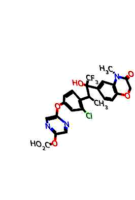 CC(c1ccc(Oc2cnc(OC(=O)O)cn2)cc1Cl)C(O)(c1ccc2c(c1)N(C)C(=O)CO2)C(F)(F)F